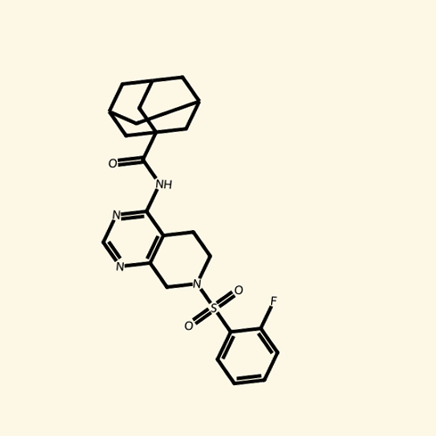 O=C(Nc1ncnc2c1CCN(S(=O)(=O)c1ccccc1F)C2)C12CC3CC(CC(C3)C1)C2